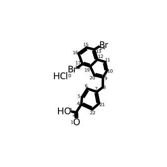 Cl.O=C(O)c1ccc(Cc2ccc3c(Br)ccc(Br)c3c2)cc1